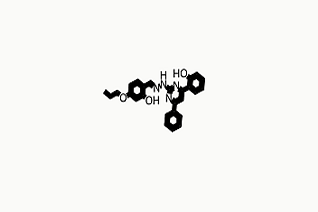 CCCOc1ccc(/C=N/Nc2nc(-c3ccccc3)cc(-c3ccccc3O)n2)c(O)c1